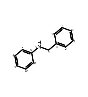 [c]1ccc(CNc2ccccc2)cc1